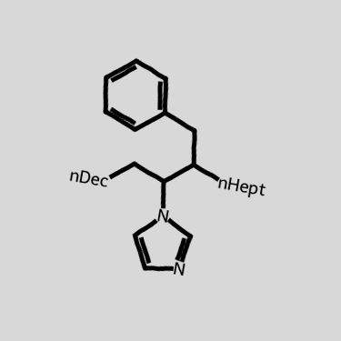 CCCCCCCCCCCC(C(CCCCCCC)Cc1ccccc1)n1ccnc1